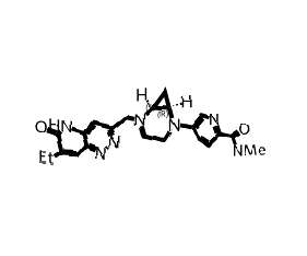 CCc1cc2nnc(CN3CCN(c4ccc(C(=O)NC)nc4)[C@@H]4C[C@@H]43)cc2[nH]c1=O